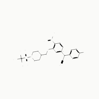 N#CC(c1ccc(Cl)cc1)c1ccc([N+](=O)[O-])c(NCC2CCN(S(=O)(=O)C(F)(F)F)CC2)c1